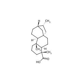 C[C@@H]1C[C@]23CC[C@@H]4[C@](C)(CCC[C@@]4(C)C(=O)O)[C@H]2CC[C@H]1C3